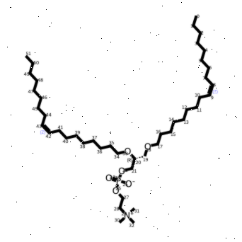 CCCCCCCC/C=C\CCCCCCCCOC[C@H](COP(=O)([O-])OCC[N+](C)(C)C)OCCCCCCCC/C=C\CCCCCCCC